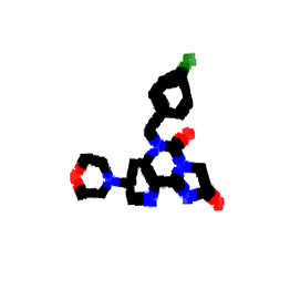 O=C1CN2C(=O)N(Cc3ccc(Cl)cc3)c3cc(N4CCOCC4)cnc3C2=N1